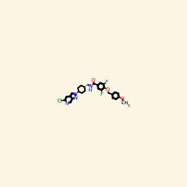 COc1ccc(COc2c(F)cc(C(=O)NC[C@H]3CC[C@H](n4cc5cc(Cl)ncc5n4)CC3)cc2F)cc1